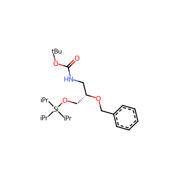 CC(C)[Si](OC[C@H](CNC(=O)OC(C)(C)C)OCc1ccccc1)(C(C)C)C(C)C